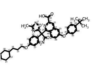 Cc1noc(C(C(N)=O)(c2ccc(OCCCC3CCCCC3)cc2)c2nc(C(=O)O)cc3cc(Oc4ccc(C(C)(C)C)cc4)ccc23)n1